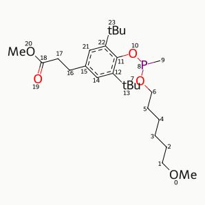 COCCCCCCOP(C)Oc1c(C(C)(C)C)cc(CCC(=O)OC)cc1C(C)(C)C